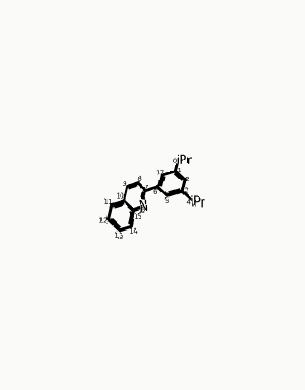 CC(C)c1[c]c(C(C)C)cc(-c2ccc3ccccc3n2)c1